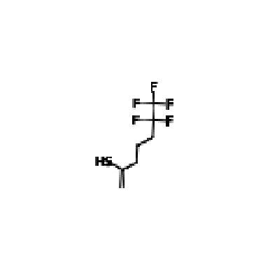 C=C(S)CCCC(F)(F)C(F)(F)F